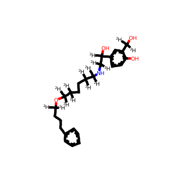 [2H]C([2H])(CCCc1ccccc1)OC([2H])([2H])C([2H])([2H])CCC([2H])([2H])C([2H])([2H])NC([2H])([2H])C([2H])(O)c1ccc(O)c(C([2H])([2H])O)c1